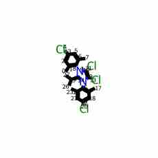 Cc1cc(Cl)cc(C)c1N1C(Cl)=C(Cl)N(c2c(C)cc(Cl)cc2C)C1C(C)C